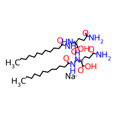 CCCCCCCCCCCC(=O)NN[C@@H](CCC(N)=O)C(=O)O.CCCCCCCCCCCC(=O)NN[C@@H](CCC(N)=O)C(=O)O.[Na]